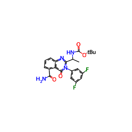 CC(NC(=O)OC(C)(C)C)c1nc2cccc(C(N)=O)c2c(=O)n1-c1cc(F)cc(F)c1